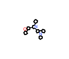 c1ccc(-c2cc(-c3ccc4oc5ccccc5c4c3)cc(-c3ccc4c(c3)c3ccccc3n4-c3ccccc3)n2)cc1